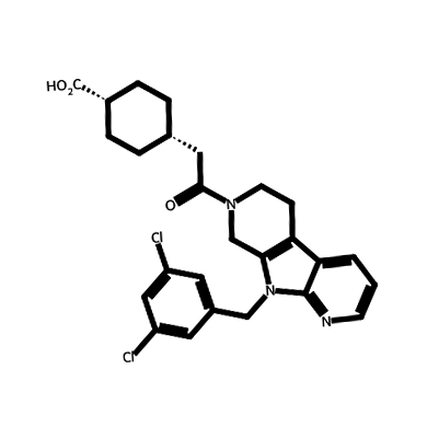 O=C(C[C@H]1CC[C@@H](C(=O)O)CC1)N1CCc2c(n(Cc3cc(Cl)cc(Cl)c3)c3ncccc23)C1